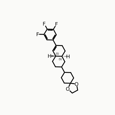 Fc1cc(C2=C[C@H]3CCC(C4CCC5(CC4)OCCO5)C[C@@H]3CC2)cc(F)c1F